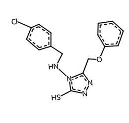 Sc1nnc(COc2ccccc2)n1NCc1ccc(Cl)cc1